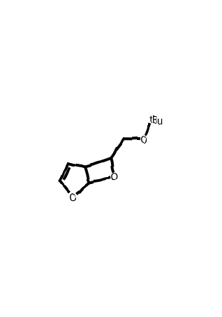 CC(C)(C)OCC1OC2OC=CC12